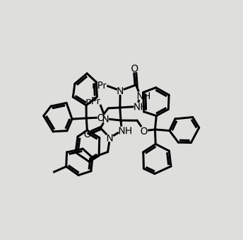 CCCN1C(=O)NNC1(COC(c1ccccc1)(c1ccccc1)c1ccccc1)C1(COC(c2ccccc2)(c2ccccc2)c2ccccc2)NN(Cc2ccc(C)cc2)C(=O)N1CCC